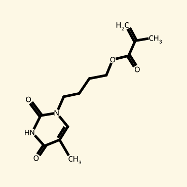 C=C(C)C(=O)OCCCCn1cc(C)c(=O)[nH]c1=O